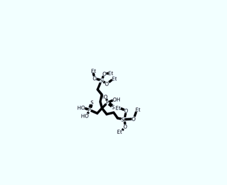 CCO[Si](CCCC(CCC[Si](OCC)(OCC)OCC)(CP(O)(O)=S)P(O)(O)=S)(OCC)OCC